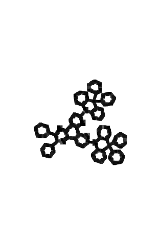 c1ccc(-c2nc3c4ccc(N5c6ccccc6C(c6ccccc6)(c6ccccc6)c6ccccc65)nc4c4nc(N5c6ccccc6C(c6ccccc6)(c6ccccc6)c6ccccc65)ccc4c3nc2-c2ccccc2)cc1